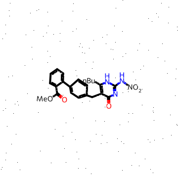 CCCCc1[nH]c(N[N+](=O)[O-])nc(=O)c1Cc1ccc(-c2ccccc2C(=O)OC)cc1